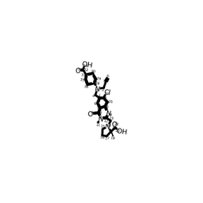 C#CCN(Cc1cc2c(=O)n(C)c(CN3CCC[C@@]3(C)C(=O)O)nc2cc1Cl)c1ccc(C(=O)O)cc1